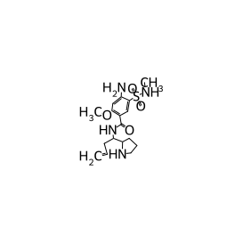 C=CCC(NC(=O)c1cc(S(=O)(=O)NC)c(N)cc1OC)C1CCCN1